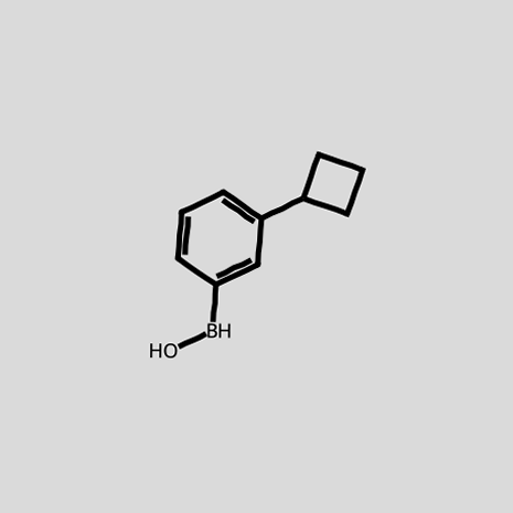 OBc1cccc(C2CCC2)c1